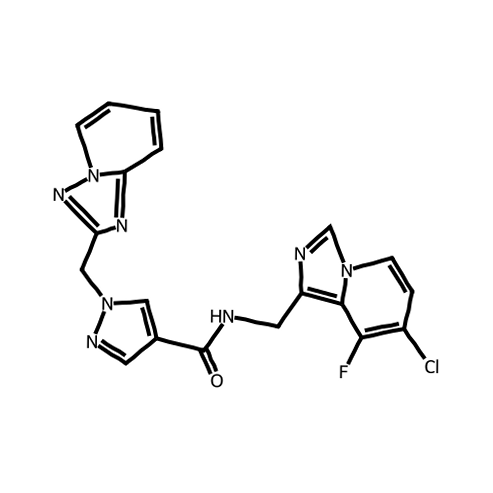 O=C(NCc1ncn2ccc(Cl)c(F)c12)c1cnn(Cc2nc3ccccn3n2)c1